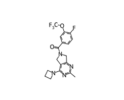 Cc1nc2c(c(N3CCC3)n1)CN(C(=O)c1ccc(F)c(OC(F)(F)F)c1)C2